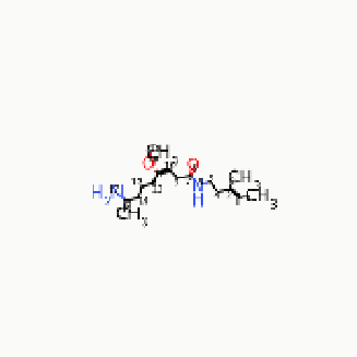 C/C=C(\C)CCNC(=O)C/C=C(\CCCC(C)N)OC